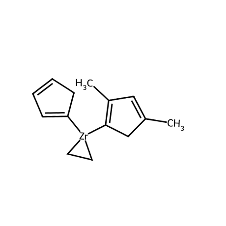 CC1=CC(C)=[C]([Zr]2([C]3=CC=CC3)[CH2][CH2]2)C1